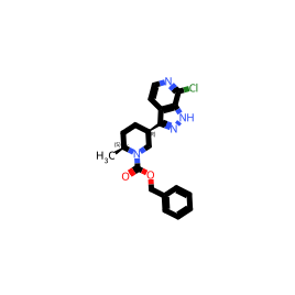 C[C@H]1CC[C@@H](c2n[nH]c3c(Cl)nccc23)CN1C(=O)OCc1ccccc1